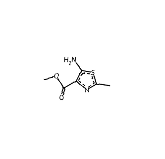 COC(=O)c1nc(C)sc1N